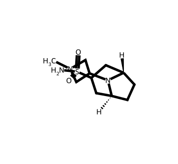 CN1CC(N2[C@H]3CC[C@H]2CC(S(N)(=O)=O)C3)C1